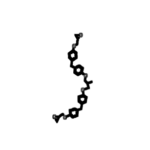 CC(COc1ccc(Cc2ccc(OCC3CO3)cc2)cc1)COc1ccc(Cc2ccc(OCC3CO3)cc2)cc1